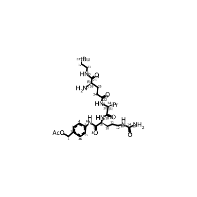 CC(=O)OCc1ccc(NC(=O)[C@H](CCCNC(N)=O)NC(=O)[C@@H](NC(=O)CC[C@@H](N)C(=O)NCCC(C)(C)C)C(C)C)cc1